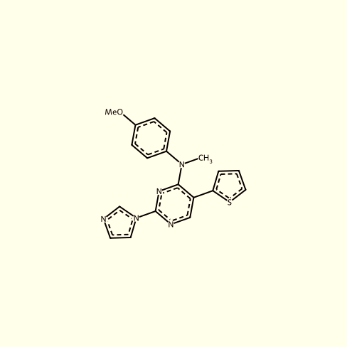 COc1ccc(N(C)c2nc(-n3ccnc3)ncc2-c2cccs2)cc1